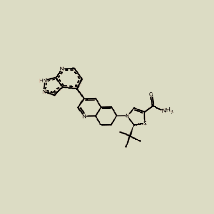 CC(C)(C)[C@@H]1SC(C(N)=O)=CN1C1C=C2C=C(c3ccnc4[nH]ncc34)C=NC2CC1